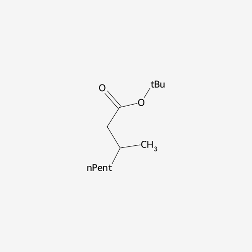 CCCCCC(C)CC(=O)OC(C)(C)C